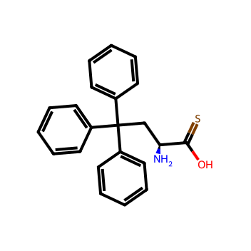 N[C@@H](CC(c1ccccc1)(c1ccccc1)c1ccccc1)C(O)=S